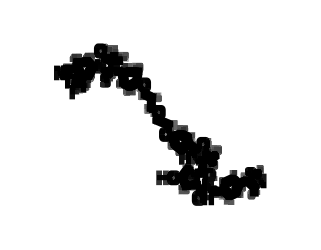 Cc1ncsc1-c1ccc(CNC(=O)[C@@H]2C[C@@H](O)CN2C(=O)[C@@H](NC(=O)c2ccc(OCCOCCCOc3ccc(N4C(=S)N(c5ccc(C#N)c(C(F)(F)F)c5)C(=O)C4(C)C)cc3)cc2)C(C)(C)C)cc1